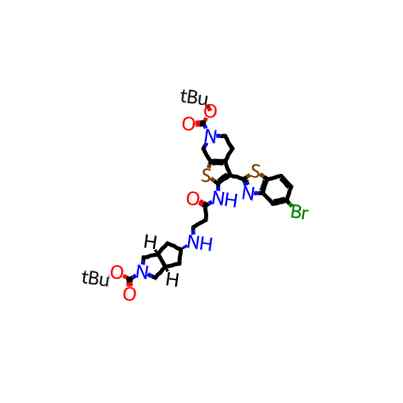 CC(C)(C)OC(=O)N1CCc2c(sc(NC(=O)CCN[C@H]3C[C@@H]4CN(C(=O)OC(C)(C)C)C[C@@H]4C3)c2-c2nc3cc(Br)ccc3s2)C1